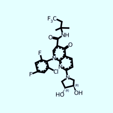 CC(C)(CC(F)(F)F)NC(=O)c1cn(-c2c(F)cc(F)cc2Cl)c2nc(N3C[C@@H](O)[C@H](O)C3)ccc2c1=O